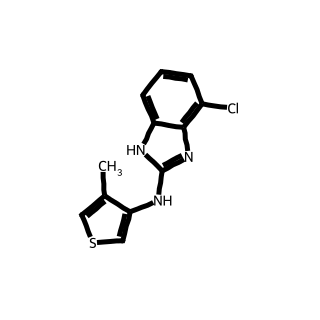 Cc1cscc1Nc1nc2c(Cl)cccc2[nH]1